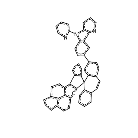 C1=Cc2ccc(-c3ccc4c(c3)c3ncccc3n4-c3ccccn3)cc2C2(c3ccccc31)c1ccccc1-c1c2cc2ccc3cccc4ccc1c2c34